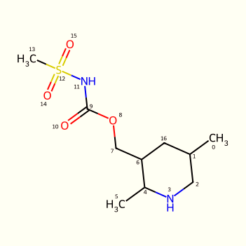 CC1CNC(C)C(COC(=O)NS(C)(=O)=O)C1